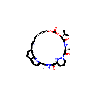 CC(C)[C@@H]1OC(=O)OCCCC/C=C/c2ccc3ccc(nc3c2)[C@@H](C)NC(=O)[C@@H]2CCCN(N2)C(=O)[C@H](C)NC1=O